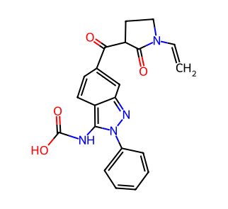 C=CN1CCC(C(=O)c2ccc3c(NC(=O)O)n(-c4ccccc4)nc3c2)C1=O